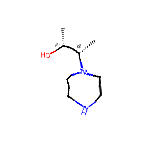 C[C@@H](O)[C@H](C)N1CCNCC1